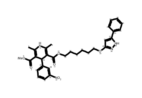 COC(=O)C1=C(C)NC(C)=C(C(=O)OCCCCCCOc2cc(-c3ccccc3)[nH]n2)C1c1cccc([N+](=O)[O-])c1